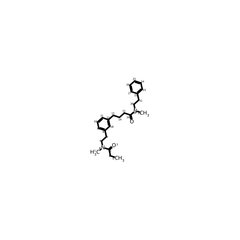 CCC(=O)N(C)CCc1cccc(CCCC(=O)N(C)CCc2ccccc2)c1